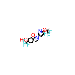 C[C@@H](Oc1ccc(N2CC[C@]3(CC[C@@](O)(C(F)(F)F)CC3)C2=O)cn1)C(F)(F)F